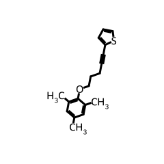 Cc1cc(C)c(OCCCC#Cc2cccs2)c(C)c1